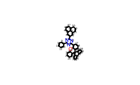 C1=Cc2cc(-c3nc(-c4ccccc4)nc(-c4cccc5c4Oc4ccccc4C54c5ccccc5-c5ccccc54)n3)cc3cccc(c23)C1